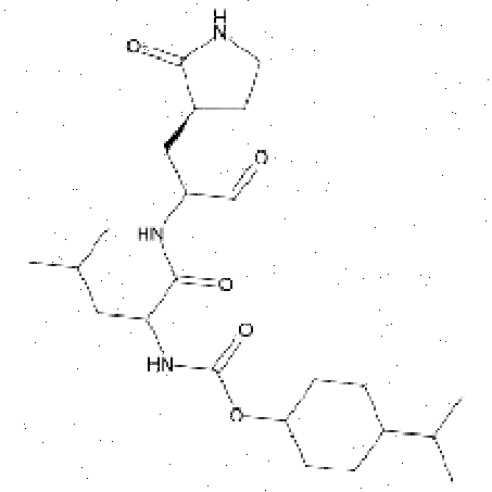 CC(C)CC(NC(=O)OC1CCC(C(C)C)CC1)C(=O)NC(C=O)C[C@@H]1CCNC1=O